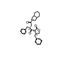 O=C(C[C@H](Cc1ccccc1)C(=O)N1C(=O)OC[C@H]1Cc1ccccc1)N1CC2CCCCC2C1